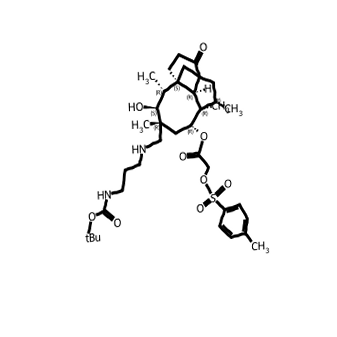 Cc1ccc(S(=O)(=O)OCC(=O)O[C@@H]2C[C@](C)(CNCCCNC(=O)OC(C)(C)C)[C@@H](O)[C@H](C)[C@]34CCC(=O)C5(C[C@@H](C)[C@]2(C)[C@H]53)C4)cc1